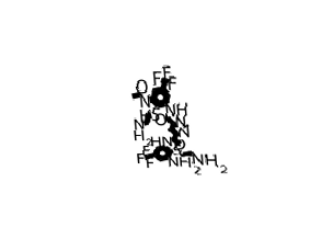 CC(=O)Nc1cc(C(F)(F)F)cc(NC(=O)c2cc(C(=O)Nc3cc(C(F)(F)F)cc(N)c3SCCN)ncn2)c1SCCN